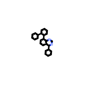 c1ccc(-c2ccccc2-c2cccc3c(-c4ccccc4)ncnc23)cc1